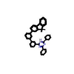 CC1(C)c2ccccc2-c2ccc(-c3cccc(-c4cccc(C5N=C(c6ccccc6)N=C(c6ccccc6)N5)c4)c3)cc21